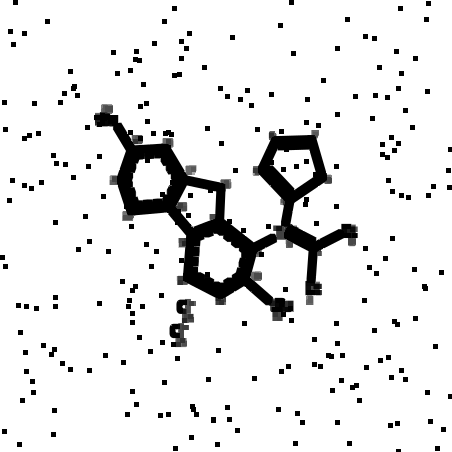 CC[C](CC)=[Ti+2]([C]1=CC=CC1)[c]1c(C(C)(C)C)ccc2c1Cc1cc(C(C)(C)C)ccc1-2.[Cl-].[Cl-]